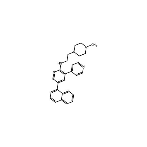 CN1CCN(CCNc2nnc(-c3cccc4ccccc34)cc2-c2ccncc2)CC1